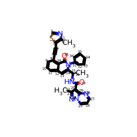 Cc1ncsc1C#Cc1cccc2cc([C@@H](C)NC(=O)c3c(C)nn4cccnc34)n(-c3ccccc3)c(=O)c12